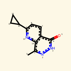 Cc1n[nH]c(=O)c2ccc(C3CC3)nc12